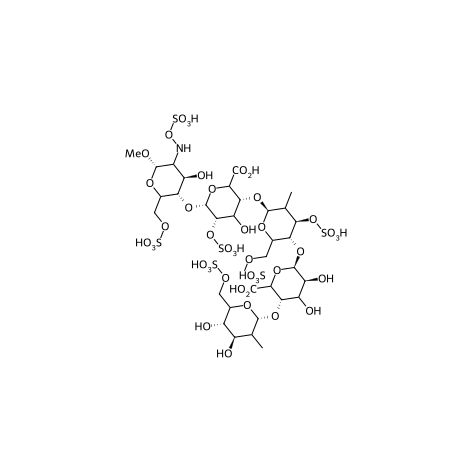 CO[C@H]1OC(COS(=O)(=O)O)[C@@H](O[C@@H]2OC(C(=O)O)[C@H](O[C@@H]3OC(COS(=O)(=O)O)[C@@H](O[C@@H]4OC(C(=O)O)[C@@H](O[C@H]5OC(COS(=O)(=O)O)[C@@H](O)[C@H](O)C5C)C(O)[C@@H]4O)[C@H](OS(=O)(=O)O)C3C)C(O)[C@@H]2OS(=O)(=O)O)[C@H](O)C1NOS(=O)(=O)O